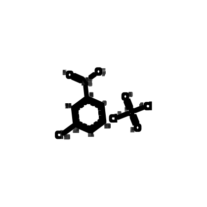 O=S(=O)(Cl)Cl.O=[N+]([O-])c1cccc(Cl)c1